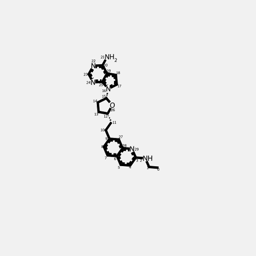 CCNc1ccc2ccc(CC[C@@H]3CC[C@H](n4ccc5c(N)ncnc54)O3)cc2n1